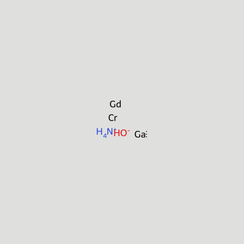 [Cr].[Ga].[Gd].[NH4+].[OH-]